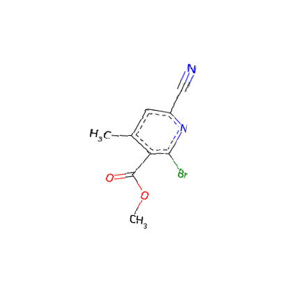 COC(=O)c1c(C)cc(C#N)nc1Br